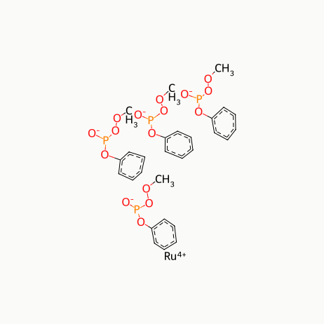 COOP([O-])Oc1ccccc1.COOP([O-])Oc1ccccc1.COOP([O-])Oc1ccccc1.COOP([O-])Oc1ccccc1.[Ru+4]